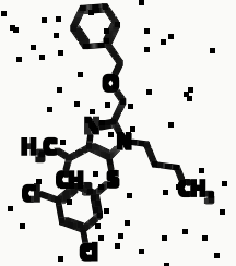 CCCCn1c(COCc2ccccc2)nc(C(C)C)c1Sc1cc(Cl)cc(Cl)c1